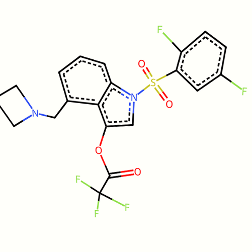 O=C(Oc1cn(S(=O)(=O)c2cc(F)ccc2F)c2cccc(CN3CCC3)c12)C(F)(F)F